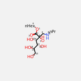 CCCCCCOC(=O)[C@](O)(CNCCC)[C@@H](O)[C@H](O)[C@H](O)CO